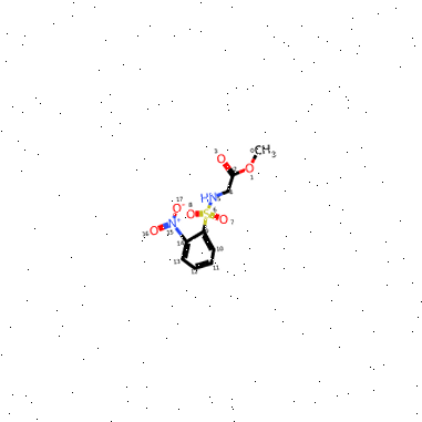 COC(=O)CNS(=O)(=O)c1ccccc1[N+](=O)[O-]